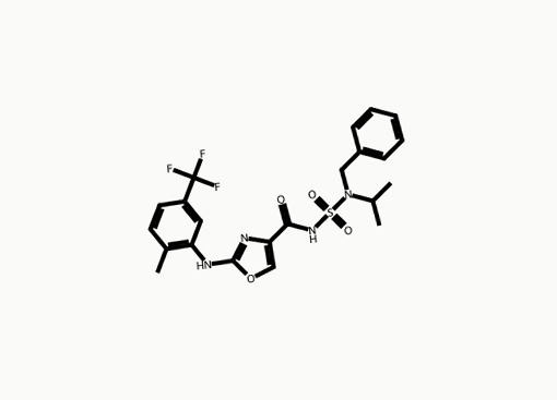 Cc1ccc(C(F)(F)F)cc1Nc1nc(C(=O)NS(=O)(=O)N(Cc2ccccc2)C(C)C)co1